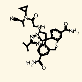 CC(C)c1nnc(C2(CCNCC(=O)N(C(C)C#N)C3CC3)c3ccc(C(N)=O)cc3CCc3cc(C(N)=O)ccc32)[nH]1